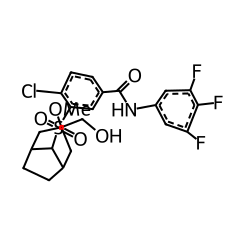 COC1(CO)CC2CCC(C1)C2S(=O)(=O)c1cc(C(=O)Nc2cc(F)c(F)c(F)c2)ccc1Cl